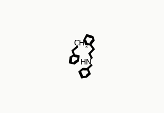 CCCc1ccccc1.c1ccc(CCCNCc2ccccc2)cc1